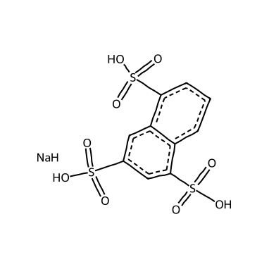 O=S(=O)(O)c1cc(S(=O)(=O)O)c2cccc(S(=O)(=O)O)c2c1.[NaH]